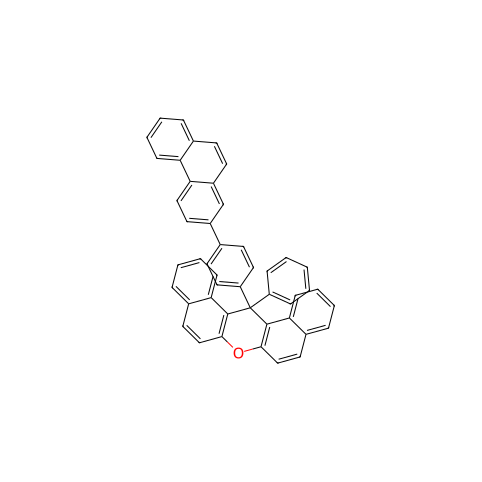 c1ccc(C2(c3ccc(-c4ccc5c(ccc6ccccc65)c4)cc3)c3c(ccc4ccccc34)Oc3ccc4ccccc4c32)cc1